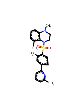 Cc1cccc(-c2ccc(S(=O)(=O)N3CCN(C)c4cccc(C)c43)c(C)c2)n1